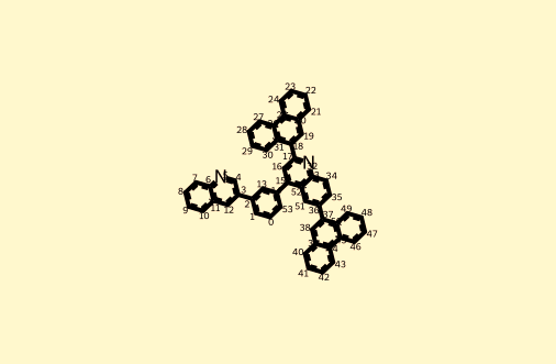 c1cc(-c2cnc3ccccc3c2)cc(-c2cc(-c3cc4ccccc4c4ccccc34)nc3ccc(-c4cc5ccccc5c5ccccc45)cc23)c1